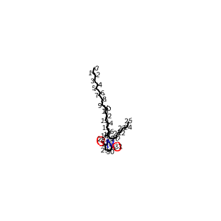 CCCCCCCCCCCCCCCC/C=C(\C)C(CCCCCC)N1C(=O)CCC1=O